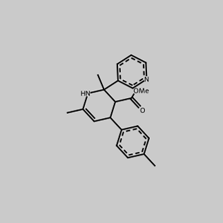 COC(=O)C1C(c2ccc(C)cc2)C=C(C)NC1(C)c1cccnc1